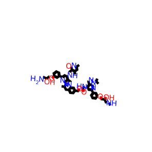 CNCC(O)COc1cccc(-c2cc(NC(=O)OCc3ccc(CC(C)n4ncc5c(NCc6c(C)cc(C)nc6OC)cc(-c6cccc(OCC(O)CN)c6)nc54)cc3)c3cnn(C(C)C)c3n2)c1